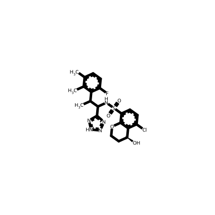 Cc1ccc(F)c(C(C)C(NS(=O)(=O)c2ccc(Cl)c3c2OCC[C@@H]3O)c2nn[nH]n2)c1C